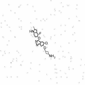 COc1cc2c(Oc3ccc4[nH]c(C)cc4c3F)ncnc2cc1OCC1CC(N)C1